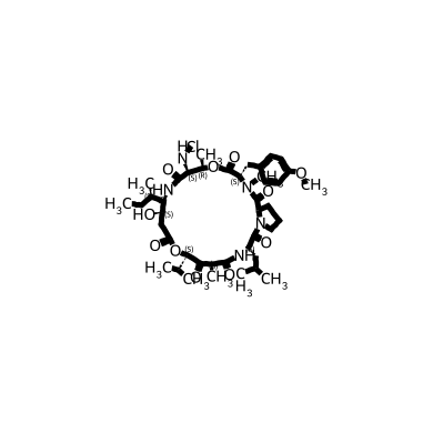 CC[C@H](C)[C@H]1NC(=O)[C@@H](NCl)[C@@H](C)OC(=O)[C@H](Cc2ccc(OC)cc2)N(C)C(=O)C2CCCN2C(=O)[C@H](CC(C)C)NC(=O)[C@@H](C)C(=O)[C@H](C(C)C)OC(=O)C[C@@H]1O